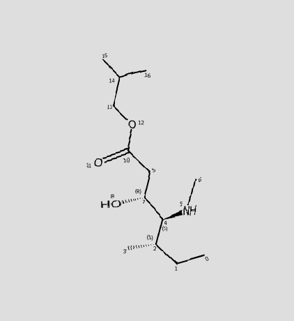 CC[C@H](C)[C@H](NC)[C@H](O)CC(=O)OCC(C)C